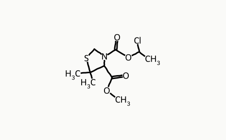 COC(=O)C1N(C(=O)OC(C)Cl)CSC1(C)C